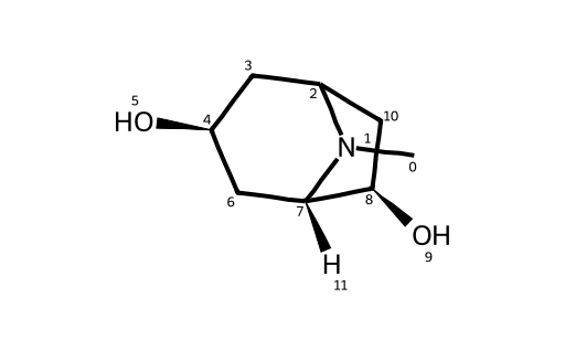 CN1C2C[C@H](O)C[C@H]1[C@H](O)C2